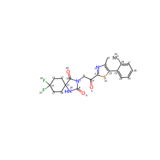 Cc1nc(C(=O)CN2C(=O)NC3(CCC(F)(F)CC3)C2=O)sc1-c1ccccc1C#N